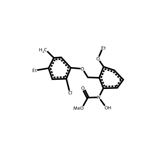 CCOc1cccc(N(O)C(=O)OC)c1COc1cc(C)c(CC)cc1Cl